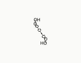 OCCOc1ccc(C#Cc2ccc(-c3ccc(OCCO)cc3)cc2)cc1